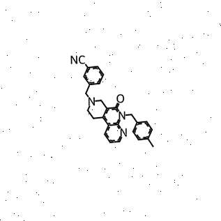 Cc1ccc(Cn2c(=O)c3c(c4cccnc42)CCN(Cc2cccc(C#N)c2)C3)cc1